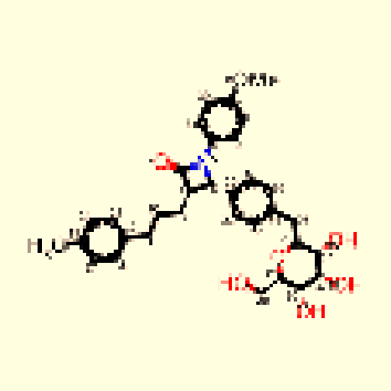 COc1ccc(N2C(=O)[C@H](CCCc3ccc(C)cc3)[C@H]2c2ccc(CC3O[C@H](CO)[C@@H](O)[C@H](O)[C@H]3O)cc2)cc1